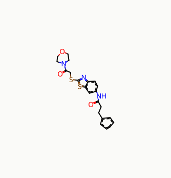 O=C(CCc1ccccc1)Nc1ccc2nc(SCC(=O)N3CCOCC3)sc2c1